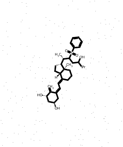 C=C1/C(=C\C=C2/CCC[C@]3(C)[C@@H]([C@H](C)C(CC(O)C(C)C)S(=O)(=O)c4ccccc4)CC[C@@H]23)C[C@@H](O)C[C@@H]1O